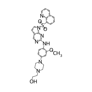 COc1cc(N2CCN(CCO)CC2)ccc1Nc1ncc2ccn(S(=O)(=O)c3cccc4cccnc34)c2n1